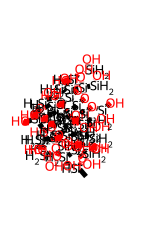 C[SiH](C)O[Si](C)(C)O[Si](O[Si](O[Si](O[SiH](C)C)([SiH2]O)[SiH2]O)([Si](O[SiH2]O)([SiH2]O)[SiH2]O)[Si](O[SiH2]O)([SiH2]O)[SiH2]O)([Si](O[Si](O[SiH2]O)([SiH2]O)[SiH2]O)([Si](O[SiH2]O)([SiH2]O)[SiH2]O)[Si](O[SiH2]O)([SiH2]O)[SiH2]O)[Si](O[Si](O[SiH2]O)([SiH2]O)[SiH2]O)([Si](O[SiH2]O)([SiH2]O)[SiH2]O)[Si](O[SiH2]O)([SiH2]O)[SiH2]O